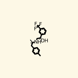 Cc1ccc(C[C@@H](C)NC[C@H](O)c2cccc(C(F)(F)F)c2)cc1